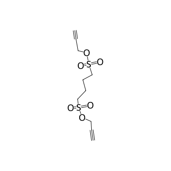 C#CCOS(=O)(=O)CCCCS(=O)(=O)OCC#C